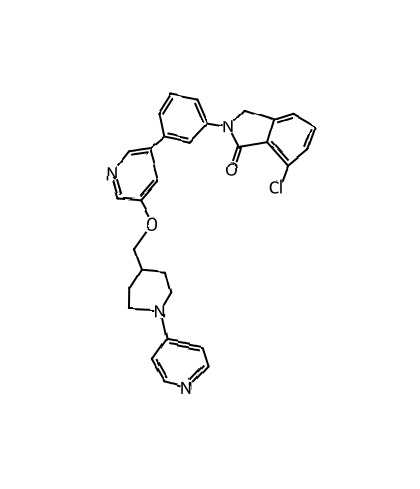 O=C1c2c(Cl)cccc2CN1c1cccc(-c2cncc(OCC3CCN(c4ccncc4)CC3)c2)c1